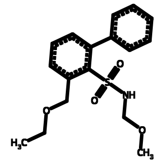 CCOCc1cccc(-c2ccccc2)c1S(=O)(=O)NCOC